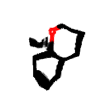 C1=Cc2ccccc2OC1.[BaH2]